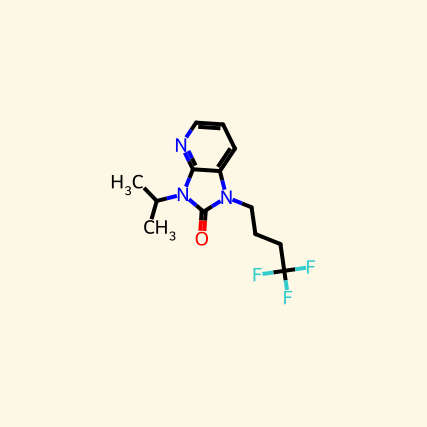 CC(C)n1c(=O)n(CCCC(F)(F)F)c2cccnc21